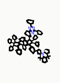 CC1(C)c2ccccc2N2c3ccc(-c4cccc(-c5c(-c6ccccc6)c(-c6ccccc6)c(-c6cccc(-c7nc(-c8ccccc8)nc(-c8ccccc8)n7)c6)c6c7cccc8c9c(-c%10ccccc%10)c(-c%10ccccc%10)c(-c%10ccccc%10)c(-c%10ccccc%10)c9c9cccc(c56)c9c87)c4)cc3C(C)(C)c3cccc1c32